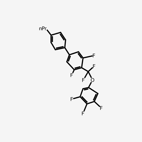 CCCc1ccc(-c2cc(F)c(C(F)(F)Oc3cc(F)c(F)c(F)c3)c(F)c2)cc1